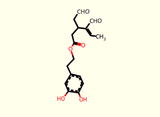 CC=C(C=O)C(CC=O)CC(=O)OCCc1ccc(O)c(O)c1